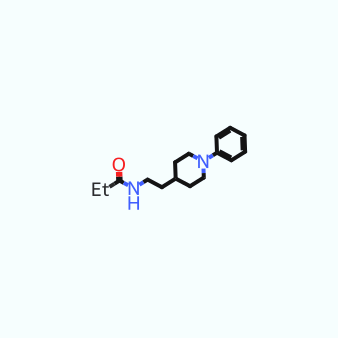 CCC(=O)NCCC1CCN(c2ccccc2)CC1